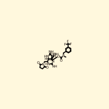 CN(Cc1cccc(C(F)(F)F)c1)C(=O)OC1CN2C(=N)NC(CN3C(=O)CCC3=O)[C@@H]3NC(=N)N[C@@]32C1(O)O